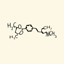 C=CC(/C=C/c1ccc(C2OC(C)CC(C)O2)cc1)=C\C=N\C